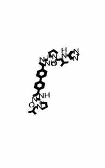 CC(C)C(=O)N1CCC[C@H]1c1ncc(-c2ccc(-c3ccc(-c4cnc([C@@H]5CCCN5C(=O)[C@@H](Nc5cncnc5)C(C)C)[nH]4)cc3)cc2)[nH]1